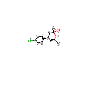 CC(=O)C1=CC(c2ccc(Cl)cc2)CC(O)(C(C)=O)O1